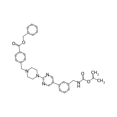 C=C(C)OC(=O)NCc1cccc(-c2cnc(N3CCN(Cc4ccc(C(=O)OCc5ccccc5)cc4)CC3)nc2)c1